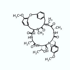 COc1ccc(C[C@H]2C(=O)N[C@@H](C)C(=O)N(C)[C@H]3Cc4ccc(cc4)Oc4cc(ccc4OC)C[C@@H](C(=O)N[C@H](C)C(=O)N[C@@H](C(C)O)C(=O)N2C)N(C)C3=O)cc1